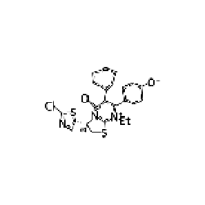 CC[n+]1c(-c2ccc([O-])cc2)c(-c2ccccc2)c(=O)n2c1SC[C@@H]2c1cnc(Cl)s1